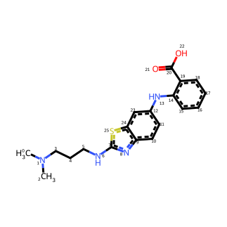 CN(C)CCCNc1nc2ccc(Nc3ccccc3C(=O)O)cc2s1